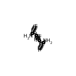 Nc1ccc(C(F)(F)C(F)(F)C(F)(F)C(F)(F)F)c(Oc2ccc(C(c3ccc(Oc4cc(N)ccc4C(F)(F)C(F)(F)C(F)(F)C(F)(F)F)cc3)(C(F)(F)F)C(F)(F)F)cc2)c1